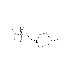 CC(C)S(=O)(=O)CCN1CCC(O)CC1